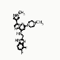 CN1CCN(c2cc(NCc3nc4c(F)c(F)ccc4[nH]3)c3ncc(-c4cnn(C)c4)n3n2)CC1